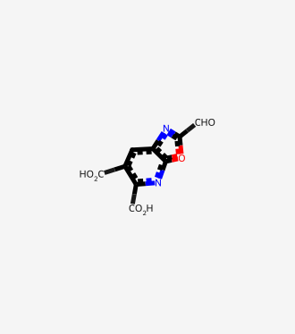 O=Cc1nc2cc(C(=O)O)c(C(=O)O)nc2o1